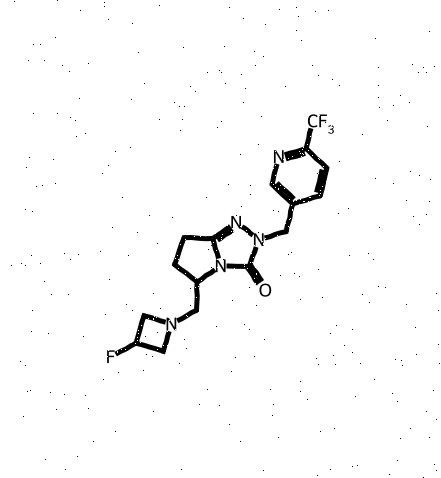 O=c1n(Cc2ccc(C(F)(F)F)nc2)nc2n1C(CN1CC(F)C1)CC2